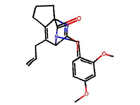 C=CCC1=C2CCCC23N=C(OC)C1N(Cc1ccc(OC)cc1OC)C3=O